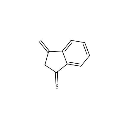 C=C1CC(=S)c2ccccc21